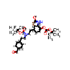 CC(C)(C)OC(=O)Oc1ccc(CCN(CCc2ccc(C=O)cc2)C(=O)OC(C)(C)C)c2sc(=O)[nH]c12